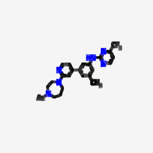 CC(=O)N1CCCN(c2cc(-c3cc(C)cc(Nc4nccc(C(F)(F)F)n4)c3)ccn2)CC1